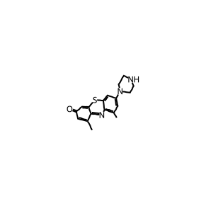 Cc1cc(=O)cc2sc3cc(N4CCNCC4)cc(C)c3nc1-2